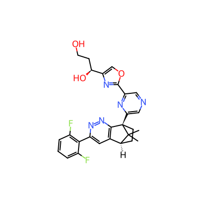 CC1(C)[C@H]2CC[C@@]1(c1cncc(-c3nc([C@@H](O)CCO)co3)n1)c1nnc(-c3c(F)cccc3F)cc12